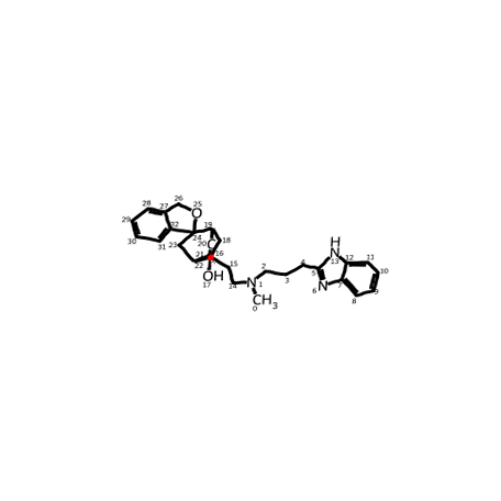 CN(CCCc1nc2ccccc2[nH]1)CC[C@@]1(O)CC2CCC1CC21OCc2ccccc21